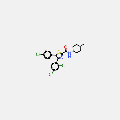 C[C@H]1CC[C@H](NC(=O)c2nc(-c3ccc(Cl)cc3Cl)c(-c3ccc(Cl)cc3)s2)CC1